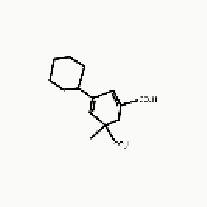 CC1(C(=O)O)C=C(C2CCCCC2)C=C(C(=O)O)C1